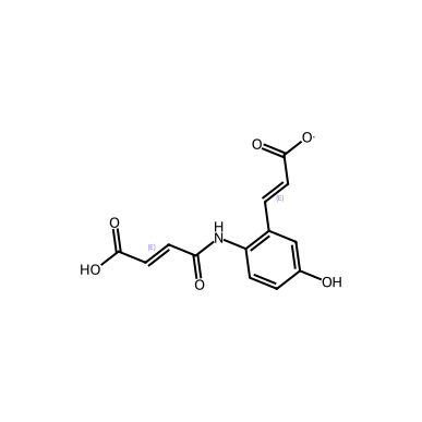 [O]C(=O)/C=C/c1cc(O)ccc1NC(=O)/C=C/C(=O)O